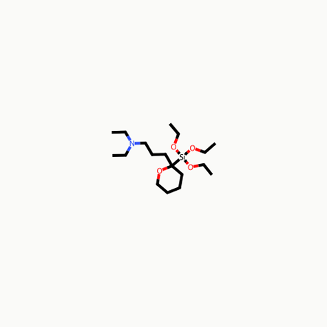 CCO[Si](OCC)(OCC)C1(CCCN(CC)CC)CCCCO1